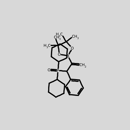 C=C(B1OC(C)(C)C(C)(C)O1)C(c1ccccc1)P(=O)(C1CCCCC1)C1CCCCC1